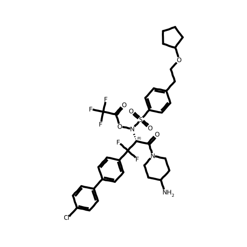 NC1CCN(C(=O)[C@@H](N(OC(=O)C(F)(F)F)S(=O)(=O)c2ccc(CCOC3CCCC3)cc2)C(F)(F)c2ccc(-c3ccc(Cl)cc3)cc2)CC1